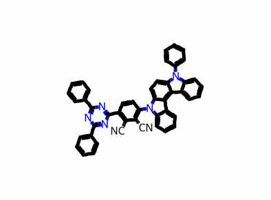 N#Cc1c(-c2nc(-c3ccccc3)nc(-c3ccccc3)n2)ccc(-n2c3ccccc3c3c4c5ccccc5n(-c5ccccc5)c4ccc32)c1C#N